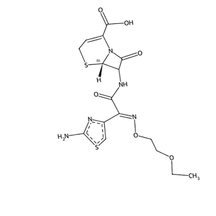 CCOCCON=C(C(=O)NC1C(=O)N2C(C(=O)O)=CCS[C@@H]12)c1csc(N)n1